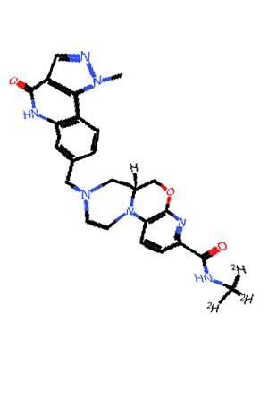 [2H]C([2H])([2H])NC(=O)c1ccc2c(n1)OC[C@H]1CN(Cc3ccc4c(c3)[nH]c(=O)c3cnn(C)c34)CCN21